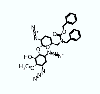 CO[C@@H]1[C@@H](O)[C@H](O[C@H]2O[C@H](CN(Cc3ccccc3)C(=O)OCc3ccccc3)CC[C@H]2N=[N+]=[N-])[C@@H](N=[N+]=[N-])C[C@H]1N=[N+]=[N-]